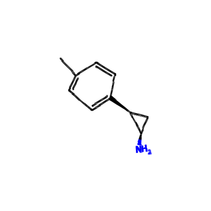 Cc1ccc([C@H]2C[C@H]2N)cc1